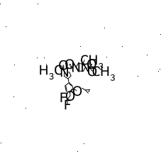 COC(=O)N1CCN(C(=O)[C@@H]2CC(c3ccc(OC(F)F)c(OCC4CC4)c3)CN2C(C)=O)CC1C